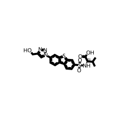 CC(C)[C@H](NS(=O)(=O)c1ccc2c(c1)sc1cc(-n3cc(CO)nn3)ccc12)C(=O)O